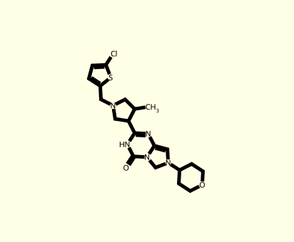 CC1CN(Cc2ccc(Cl)s2)CC1C1=NC2=CN(C3CCOCC3)CN2C(=O)N1